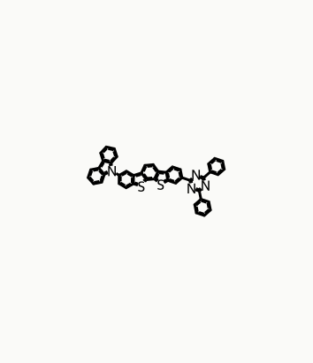 c1ccc(-c2nc(-c3ccccc3)nc(-c3ccc4c(c3)sc3c4ccc4c5cc(-n6c7ccccc7c7ccccc76)ccc5sc43)n2)cc1